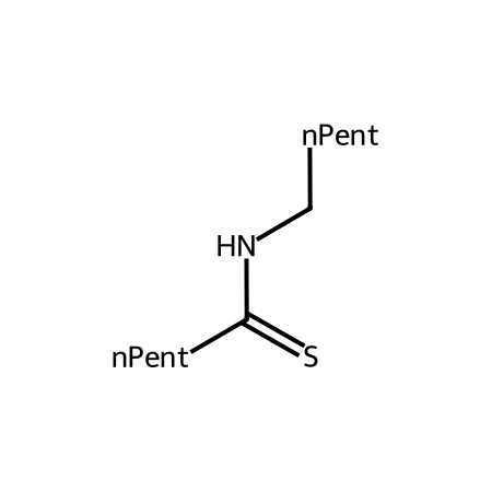 CCCCCCNC(=S)CCCCC